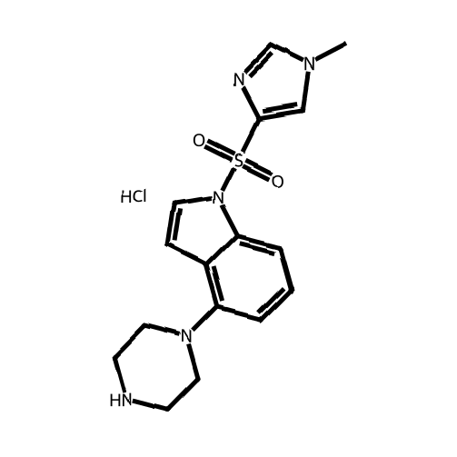 Cl.Cn1cnc(S(=O)(=O)n2ccc3c(N4CCNCC4)cccc32)c1